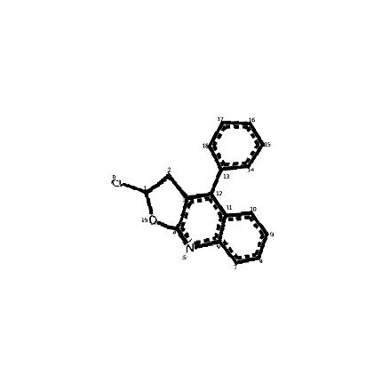 ClC1Cc2c(nc3ccccc3c2-c2ccccc2)O1